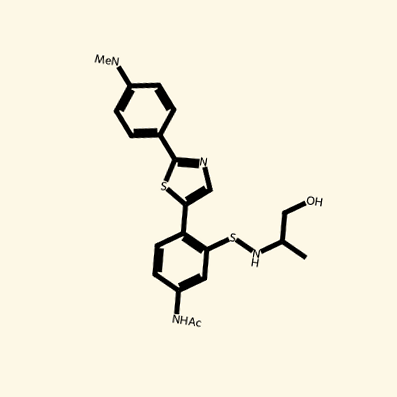 CNc1ccc(-c2ncc(-c3ccc(NC(C)=O)cc3SNC(C)CO)s2)cc1